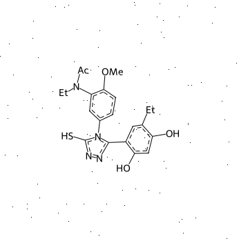 CCc1cc(-c2nnc(S)n2-c2ccc(OC)c(N(CC)C(C)=O)c2)c(O)cc1O